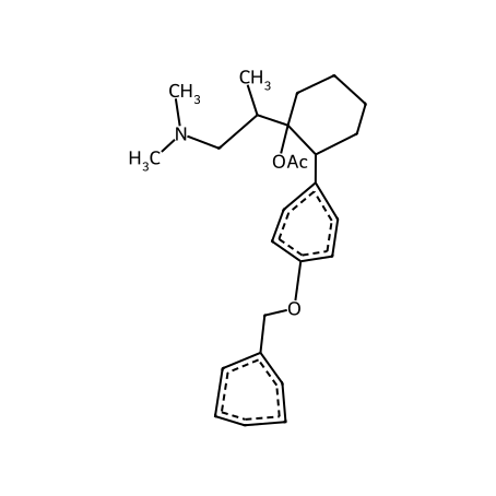 CC(=O)OC1(C(C)CN(C)C)CCCCC1c1ccc(OCc2ccccc2)cc1